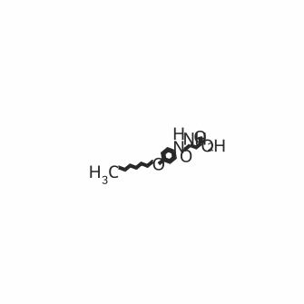 CCCCCCCCOc1ccc(NC(=O)C(N)CC(=O)O)cc1